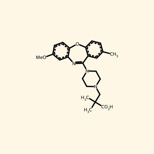 COc1ccc2c(c1)N=C(N1CCN(CC(C)(C)C(=O)O)CC1)c1cc(C)ccc1O2